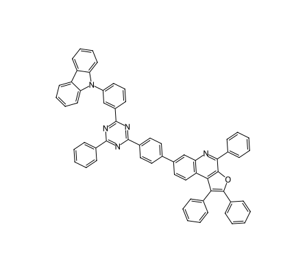 c1ccc(-c2nc(-c3ccc(-c4ccc5c(c4)nc(-c4ccccc4)c4oc(-c6ccccc6)c(-c6ccccc6)c45)cc3)nc(-c3cccc(-n4c5ccccc5c5ccccc54)c3)n2)cc1